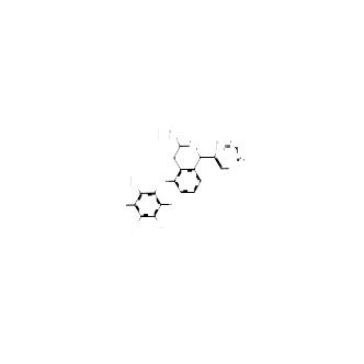 NC1Cc2c(Oc3c(F)c(F)c(F)c(F)c3F)cccc2C(C2=CSNN=N2)N1